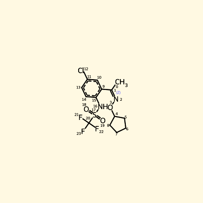 C/C(=N/OC1CCCC1)c1cc(Cl)ccc1NS(=O)(=O)C(F)(F)F